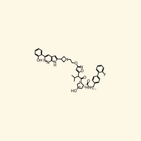 CC(C)C(C(=O)N1C[C@H](O)C[C@H]1C(=O)N[C@@H](C)c1ccc(-c2ccccc2F)cc1)c1cc(OCCN2CC(c3cc4cc(-c5ccccc5O)nnc4[nH]3)C2)no1